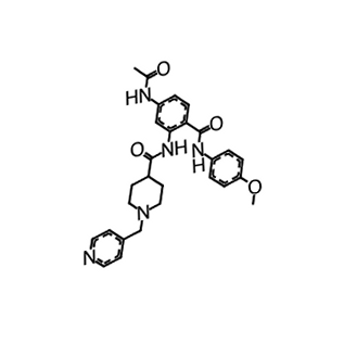 COc1ccc(NC(=O)c2ccc(NC(C)=O)cc2NC(=O)C2CCN(Cc3ccncc3)CC2)cc1